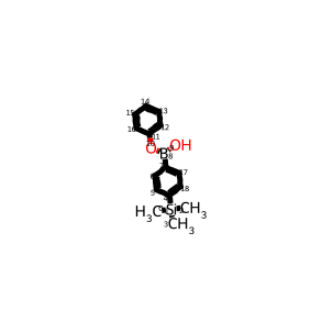 C[Si](C)(C)c1ccc(B(O)Oc2ccccc2)cc1